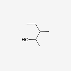 [CH2]CC(C)C(C)O